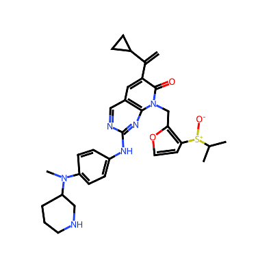 C=C(c1cc2cnc(Nc3ccc(N(C)C4CCCNC4)cc3)nc2n(Cc2occc2[S+]([O-])C(C)C)c1=O)C1CC1